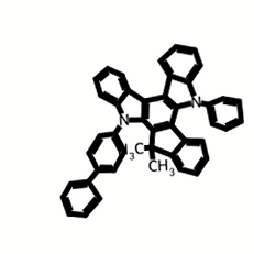 CC1(C)c2ccccc2-c2c1c1c(c3ccccc3n1-c1ccc(-c3ccccc3)cc1)c1c3ccccc3n(-c3ccccc3)c21